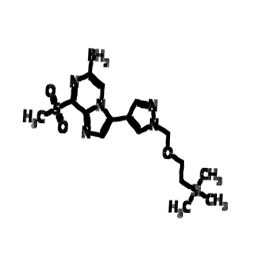 Bc1cn2c(-c3cnn(COCC[Si](C)(C)C)c3)cnc2c(S(C)(=O)=O)n1